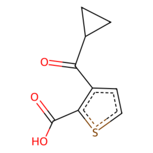 O=C(O)c1sccc1C(=O)C1CC1